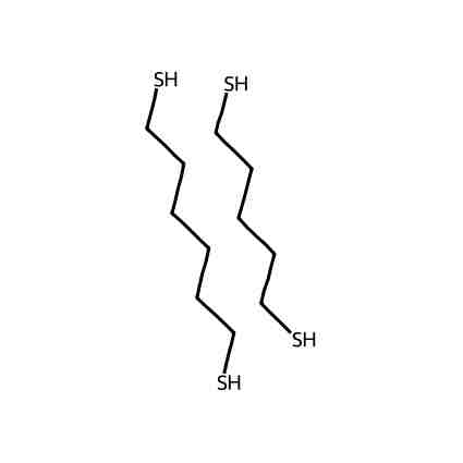 SCCCCCCS.SCCCCCS